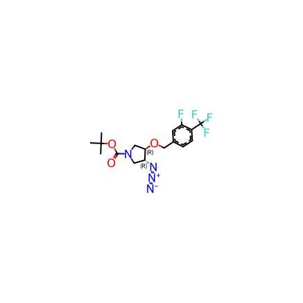 CC(C)(C)OC(=O)N1C[C@@H](N=[N+]=[N-])[C@H](OCc2ccc(C(F)(F)F)c(F)c2)C1